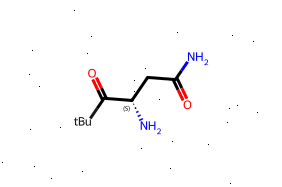 CC(C)(C)C(=O)[C@@H](N)CC(N)=O